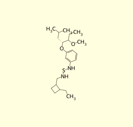 CCC1CCC1CNSNc1cccc(O[C@H](CC(C)C)C(CC)OC)c1